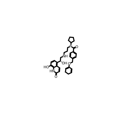 O=C(c1ccc(COC2=C[CH]CC=C2)cc1)N(CCCNC[C@H](O)c1ccc(O)c2[nH]c(=O)ccc12)C1CCCC1